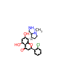 CN1CC[C@H](c2c(O)cc(O)c3c(=O)cc(-c4ccccc4Cl)oc23)[C@H]1CN